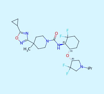 CC(C)N1C[C@@H](O[C@H]2CCCC(F)(F)[C@@H]2NC(=O)N2CCC(C)(c3noc(C4CC4)n3)CC2)C(F)(F)C1